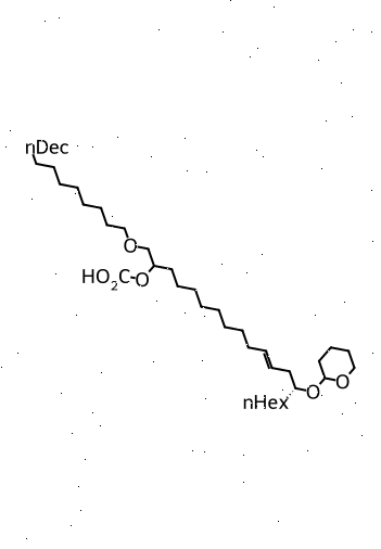 CCCCCCCCCCCCCCCCCCOCC(CCCCCCCCC=CC[C@@H](CCCCCC)OC1CCCCO1)OC(=O)O